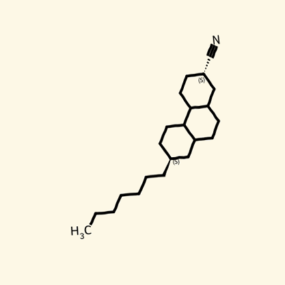 CCCCCCC[C@H]1CCC2C(CCC3C[C@@H](C#N)CCC32)C1